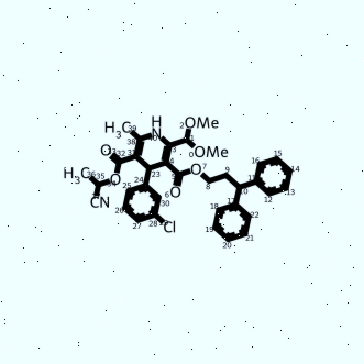 COC(OC)C1=C(C(=O)OCCC(c2ccccc2)c2ccccc2)C(c2cccc(Cl)c2)C(C(=O)OC(C)C#N)=C(C)N1